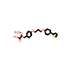 CO[C@@H](Cc1ccc(OCCCOc2ccc(-c3cccs3)cc2)cc1)C(=O)O